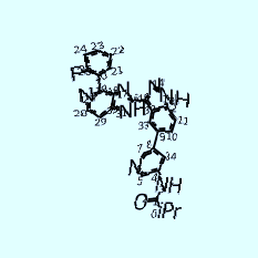 CC(C)C(=O)Nc1cncc(-c2ccc3[nH]nc(-c4nc5c(-c6ccccc6F)nccc5[nH]4)c3c2)c1